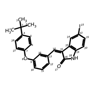 CC(C)(C)c1ccc(Oc2cccc(C=C3C(=O)Nc4ccc(I)cc43)c2)cc1